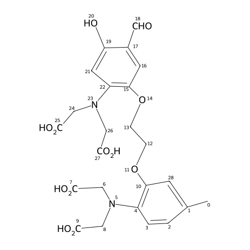 Cc1ccc(N(CC(=O)O)CC(=O)O)c(OCCOc2cc(C=O)c(O)cc2N(CC(=O)O)CC(=O)O)c1